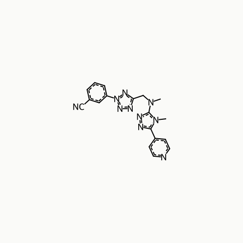 CN(Cc1nnn(-c2cccc(C#N)c2)n1)c1nnc(-c2ccncc2)n1C